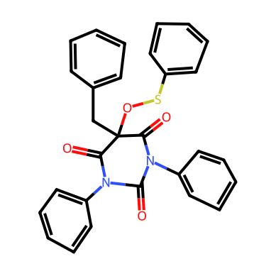 O=C1N(c2ccccc2)C(=O)C(Cc2ccccc2)(OSc2ccccc2)C(=O)N1c1ccccc1